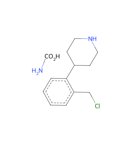 ClCc1ccccc1C1CCNCC1.NC(=O)O